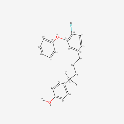 COc1ccc([Si](C)(C)CCCc2ccc(F)c(Oc3ccccc3)c2)cc1